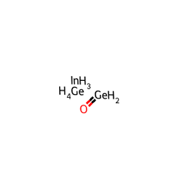 [GeH4].[InH3].[O]=[GeH2]